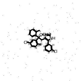 Cc1ccccc1C(Cc1nc[nH]c1-c1cccc(Cl)c1)(OC=O)c1cc(Cl)ccc1F